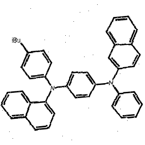 CCC(C)c1ccc(N(c2ccc(N(c3ccccc3)c3ccc4ccccc4c3)cc2)c2cccc3ccccc23)cc1